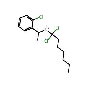 CCCCCCC(Cl)(Cl)[SiH2]C(C)c1ccccc1Cl